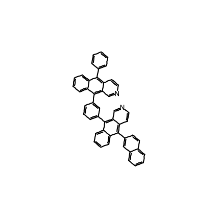 c1ccc(-c2c3ccccc3c(-c3cccc(-c4c5ccccc5c(-c5ccc6ccccc6c5)c5ccncc45)c3)c3cnccc23)cc1